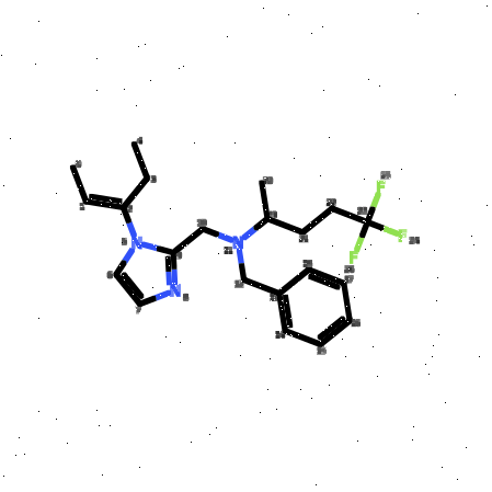 C/C=C(\CC)n1ccnc1CN(Cc1ccccc1)C(C)CCC(F)(F)F